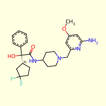 COc1cc(N)nc(CN2CCC(NC(=O)C(O)(c3ccccc3)[C@@H]3CCC(F)(F)C3)CC2)c1